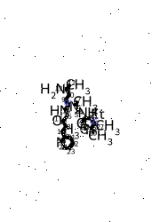 CC/C(C(=O)NCN(C)/C(=C\CC(C)N)NCC(=O)CCC1CC=CC=N1)=C(\C)N(C)C